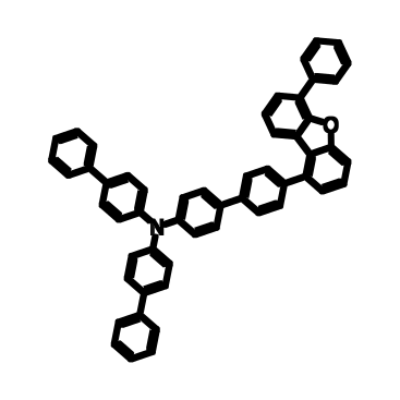 c1ccc(-c2ccc(N(c3ccc(-c4ccccc4)cc3)c3ccc(-c4ccc(-c5cccc6oc7c(-c8ccccc8)cccc7c56)cc4)cc3)cc2)cc1